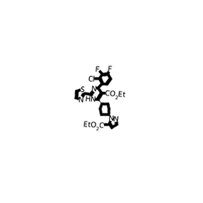 CCOC(=O)C1=C([C@H]2CC[C@@H](n3nccc3C(=O)OCC)CC2)NC(c2nccs2)=NC1c1ccc(F)c(F)c1Cl